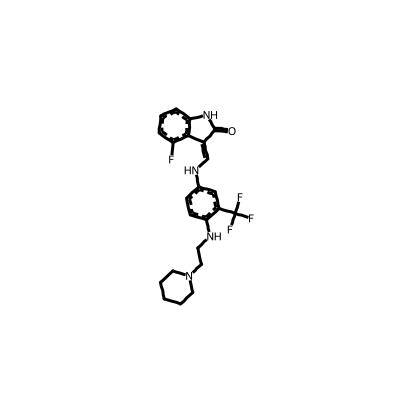 O=C1Nc2cccc(F)c2/C1=C\Nc1ccc(NCCN2CCCCC2)c(C(F)(F)F)c1